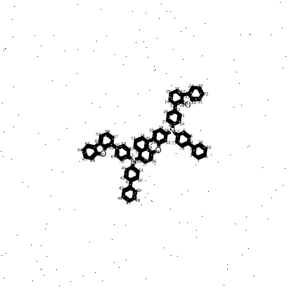 c1ccc(-c2ccc(N(c3ccc(-c4cccc5c4oc4ccccc45)cc3)c3ccc4c(c3)Oc3ccc(N(c5ccc(-c6ccccc6)cc5)c5ccc(-c6cccc7c6oc6ccccc67)cc5)c5cccc-4c35)cc2)cc1